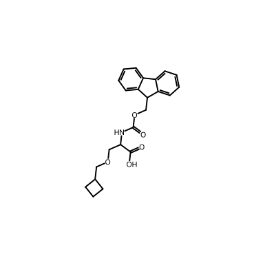 O=C(NC(COCC1CCC1)C(=O)O)OCC1c2ccccc2-c2ccccc21